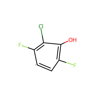 Oc1c(F)c[c]c(F)c1Cl